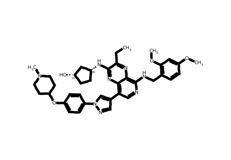 CCc1nc2c(NCc3ccc(OC)cc3OC)ncc(-c3cnn(-c4ccc(OC5CCN(C)CC5)cc4)c3)c2nc1N[C@@H]1CC[C@H](O)C1